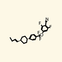 CCC=C[C@H]1CC[C@H](c2ccc(C(F)(F)Oc3cc(F)c(C#N)c(F)c3)cc2)CC1